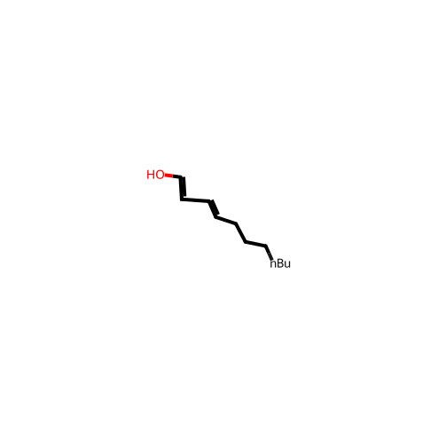 CCCCCCC/C=C/C=C/O